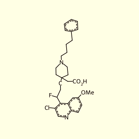 COc1ccc2ncc(Cl)c(C(F)CCC3(CC(=O)O)CCN(CCCCc4ccccc4)CC3)c2c1